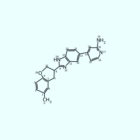 Cc1ccc2c(c1)CC(c1nc3cc(-c4ccnc(N)c4)ccc3[nH]1)CO2